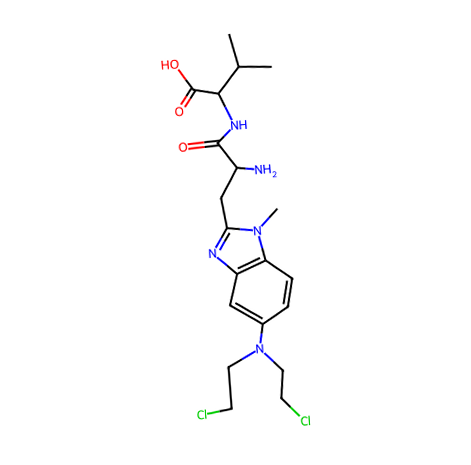 CC(C)C(NC(=O)C(N)Cc1nc2cc(N(CCCl)CCCl)ccc2n1C)C(=O)O